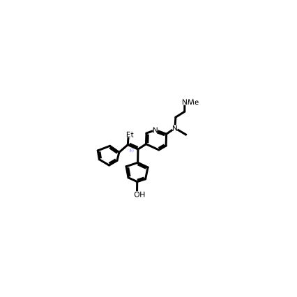 CC/C(=C(/c1ccc(O)cc1)c1ccc(N(C)CCNC)nc1)c1ccccc1